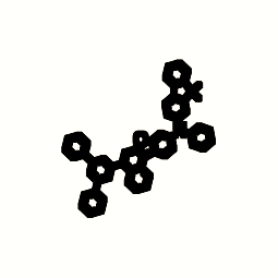 CC1(C)c2ccccc2-c2ccc(N(c3ccccc3)c3ccc4c(c3)oc3cc(-c5cc(-c6ccccc6)cc(-c6ccccc6)c5)c5ccccc5c34)cc21